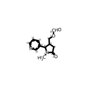 CN1C(=O)CC(COC=O)C1c1cccnc1